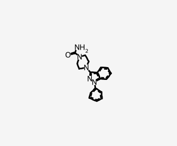 NC(=O)N1CCN(c2nn(-c3ccccc3)c3ccccc23)CC1